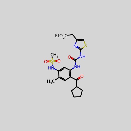 CCOC(=O)Cc1csc(NC(=O)Nc2cc(NS(C)(=O)=O)c(C)cc2C(=O)C2CCCC2)n1